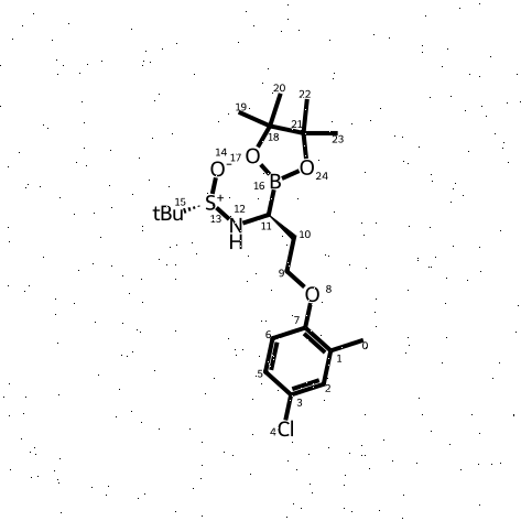 Cc1cc(Cl)ccc1OCC[C@@H](N[S@@+]([O-])C(C)(C)C)B1OC(C)(C)C(C)(C)O1